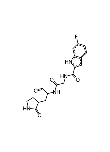 O=CC(CC1CCNC1=O)NC(=O)CNC(=O)c1cc2ccc(F)cc2[nH]1